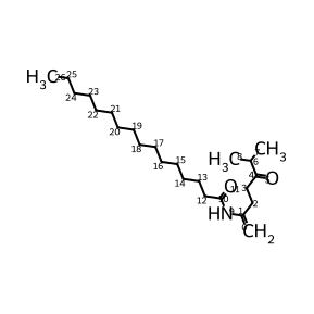 C=C(CCC(=O)C(C)C)NC(=O)CCCCCCCCCCCCCCC